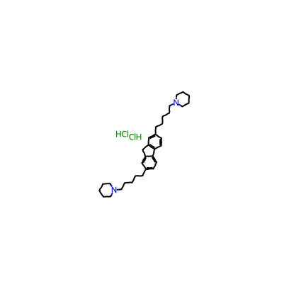 Cl.Cl.c1cc2c(cc1CCCCCN1CCCCC1)Cc1cc(CCCCCN3CCCCC3)ccc1-2